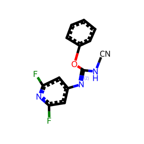 N#CN/C(=N/c1cc(F)nc(F)c1)Oc1ccccc1